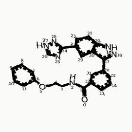 O=C(NCCOc1ccccc1)c1cccc(-c2n[nH]c3ccc(-c4nc[nH]n4)cc23)c1